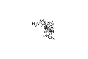 CC1=C(C(F)(F)F)C=S(S(=O)(=O)Nc2cccnc2C(=O)c2ccnc(N)c2)C=C1